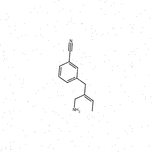 C/C=C(\CN)Cc1cccc(C#N)c1